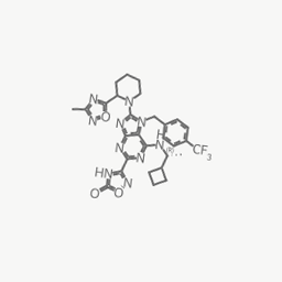 Cc1noc(C2CCCCN2c2nc3nc(-c4noc(=O)[nH]4)nc(N[C@H](C)C4CCC4)c3n2Cc2ccc(C(F)(F)F)cc2)n1